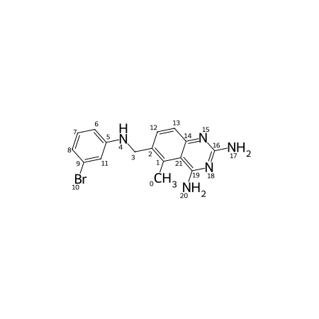 Cc1c(CNc2cccc(Br)c2)ccc2nc(N)nc(N)c12